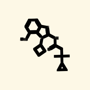 COc1cccc2nc(NC(=O)CC(C)(C)C3CC3)n(C3CCC3)c12